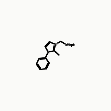 CCCCCCCC[n+]1ccn(-c2ccccc2)c1C